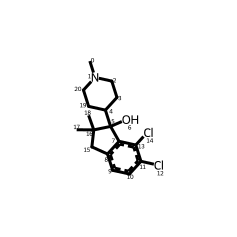 CN1CCC(C2(O)c3c(ccc(Cl)c3Cl)CC2(C)C)CC1